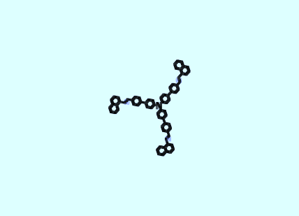 C(=C\c1cccc2ccccc12)/c1ccc(-c2ccc(N(c3ccc(-c4ccc(/C=C/c5cccc6ccccc56)cc4)cc3)c3ccc(-c4ccc(/C=C/c5cccc6ccccc56)cc4)cc3)cc2)cc1